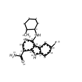 CC1CCCCC1Nc1ncc(C(N)=O)c2[nH]c3ccc(F)cc3c12